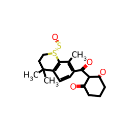 Cc1c(C(=O)C2C(=O)CCCC2=O)ccc2c1S(=S=O)CCC2(C)C